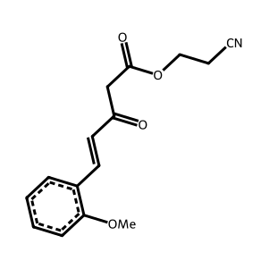 COc1ccccc1C=CC(=O)CC(=O)OCCC#N